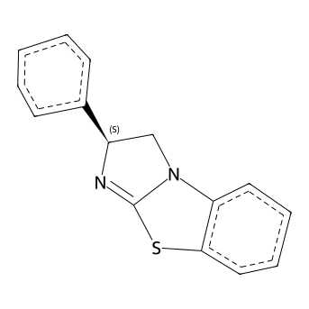 c1ccc([C@H]2CN3C(=N2)Sc2ccccc23)cc1